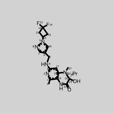 Cc1nc(NCc2cnn(C3CC(F)(F)C3)c2)cc2c1NC(=O)[C@@](O)(C(C)C)N2C